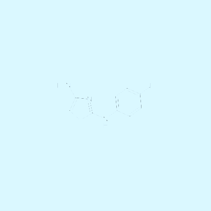 Nc1csc(Nc2ccc(F)cc2)n1